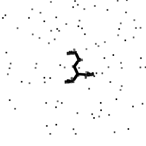 CCCCCCCCCCC(CCCCCCCC)COCCCCCC